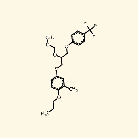 CCCOc1ccc(SCC(COc2ccc(C(F)(F)F)cc2)OCOC)cc1C